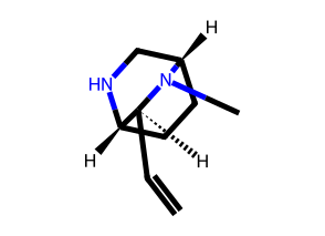 C=C[C@H]1[C@@H]2CC[C@@H](CN2)N1C